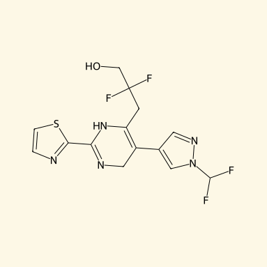 OCC(F)(F)CC1=C(c2cnn(C(F)F)c2)CN=C(c2nccs2)N1